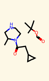 CC(C)(C)OC=O.CC1CNCCN1C(=O)CC1CC1